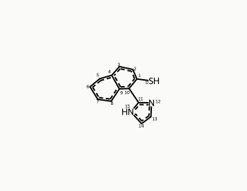 Sc1ccc2ccccc2c1-c1ncc[nH]1